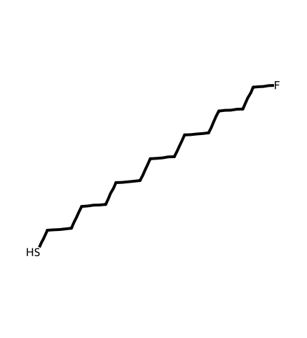 FCCCCCCCCCCCCCS